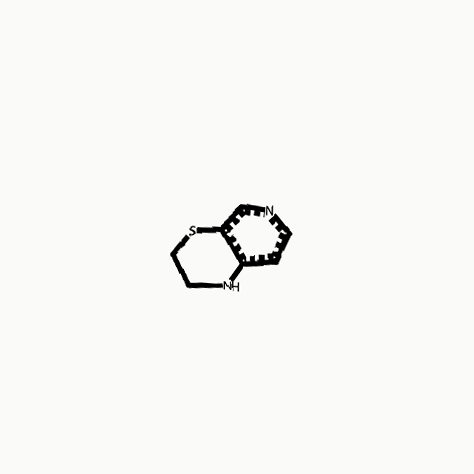 c1cc2c(cn1)SCCN2